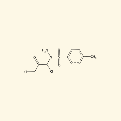 Cc1ccc(S(=O)(=O)N(N)C(Cl)C(=O)CCl)cc1